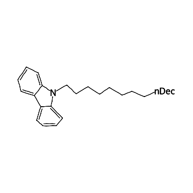 CCCCCCCCCCCCCCCCCCn1c2ccccc2c2ccccc21